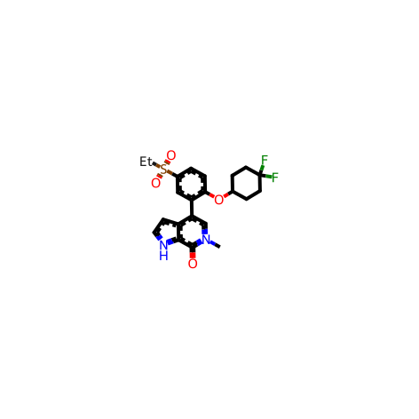 CCS(=O)(=O)c1ccc(OC2CCC(F)(F)CC2)c(-c2cn(C)c(=O)c3[nH]ccc23)c1